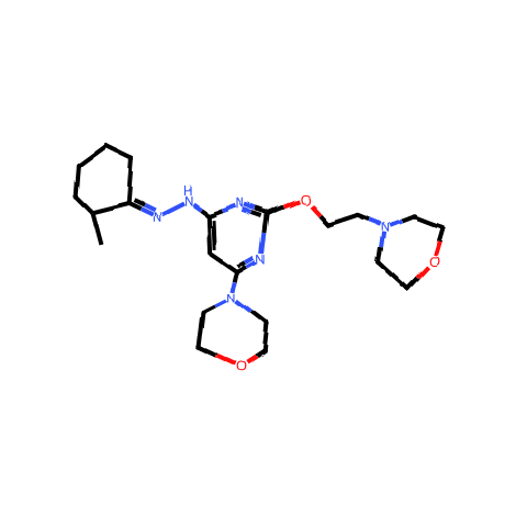 CC1CCCCC1=NNc1cc(N2CCOCC2)nc(OCCN2CCOCC2)n1